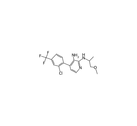 COCC(C)Nc1nccc(-c2ccc(C(F)(F)F)cc2Cl)c1N